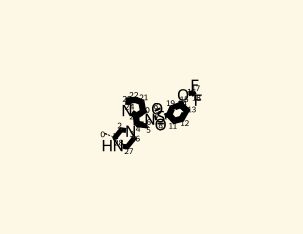 C[C@@H]1CN(c2cn(S(=O)(=O)c3cccc(OC(F)F)c3)c3cccnc23)CCN1